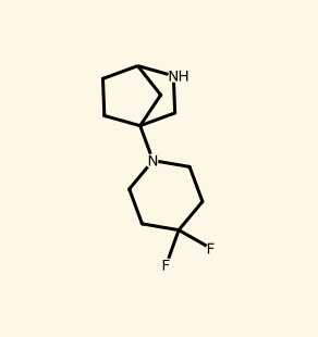 FC1(F)CCN(C23CCC(C2)NC3)CC1